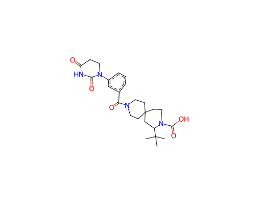 CC(C)(C)C1CC2(CCN(C(=O)c3cccc(N4CCC(=O)NC4=O)c3)CC2)CCN1C(=O)O